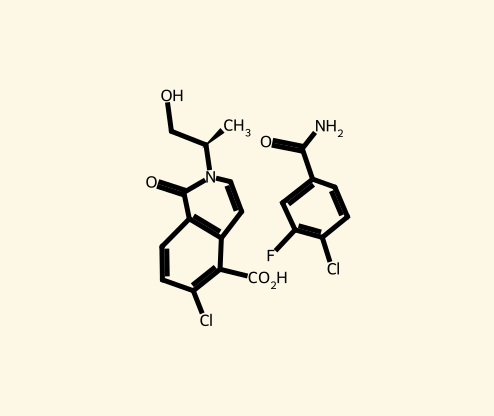 C[C@H](CO)n1ccc2c(C(=O)O)c(Cl)ccc2c1=O.NC(=O)c1ccc(Cl)c(F)c1